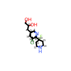 OCC(O)Cc1cnc(C2(F)CCNCC2)c(Cl)c1